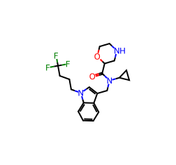 O=C(C1CNCCO1)N(Cc1cn(CCCC(F)(F)F)c2ccccc12)C1CC1